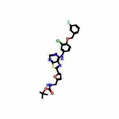 CC(C)(C)OC(=O)NCc1ccc(-c2nc3c(Nc4ccc(OCc5cccc(F)c5)c(Cl)c4)ncnc3s2)o1